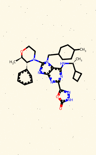 CC1CCC(Cn2c(N3CCO[C@H](C)[C@H]3c3ccccc3)nc3nc(-c4n[nH]c(=O)o4)nc(N[C@H](C)C4CCC4)c32)CC1